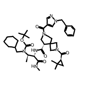 CNC(=O)[C@@H](NC(=O)[C@@H]1CN(C(=O)c2cnn(Cc3ccccc3)c2)CC12CN(C(=O)[C@H]1CC1(C)C)C2)[C@@H](C)N(CC1CCCCC1)C(=O)OC(C)(C)C